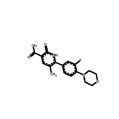 Cc1cc(C(=O)O)c(=O)[nH]c1-c1ccc(N2CCOCC2)c(F)c1